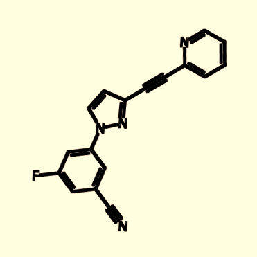 N#Cc1cc(F)cc(-n2ccc(C#Cc3ccccn3)n2)c1